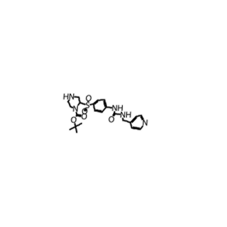 CC(C)(C)OC(=O)N1CCNCC1S(=O)(=O)c1ccc(NC(=O)NCc2ccncc2)cc1